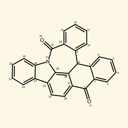 O=C1c2ccccc2C2c3ccccc3C(=O)n3c4ccccc4c4ccc1c2c43